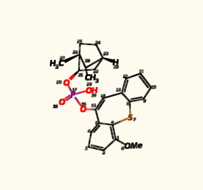 COc1cccc2c1Sc1ccccc1C=C2OP(=O)(O)O[C@@H]1C[C@H]2CC[C@]1(C)C2C